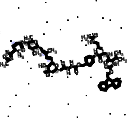 CC(/C=C/[C@H]1O[C@H](CC(=O)NNC(=O)OCc2ccc(NC(=O)[C@H](CCCNC(N)=O)NC(=O)[C@@H](NC(=O)OCC3c4ccccc4-c4ccccc43)C(C)C)cc2)C[C@@]2(CO2)[C@@H]1O)=C\C[C@@H]1O[C@H](C)[C@H](NC(=O)/C=C\[C@H](C)c2noc(C)n2)C[C@@H]1C